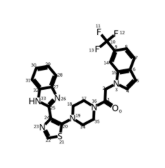 O=C(Cn1ccc2ccc(C(F)(F)F)cc21)N1CCN(c2scnc2-c2nc3ccccc3[nH]2)CC1